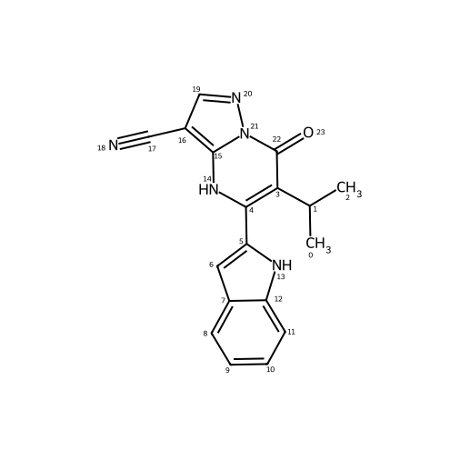 CC(C)c1c(-c2cc3ccccc3[nH]2)[nH]c2c(C#N)cnn2c1=O